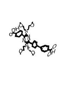 COCCN(CCOC)c1nc(-c2ccc(-c3ccc(C(=O)O)cc3)cc2)c(N(CCOC)CCOC)nc1-c1ccc(C(=O)O)cc1